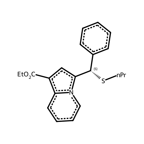 CCCS[C@@H](c1ccccc1)c1cc(C(=O)OCC)c2ccccn12